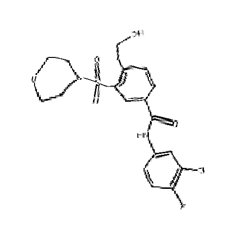 O=C(Nc1ccc(F)c(Cl)c1)c1ccc(CO)c(S(=O)(=O)N2CCOCC2)c1